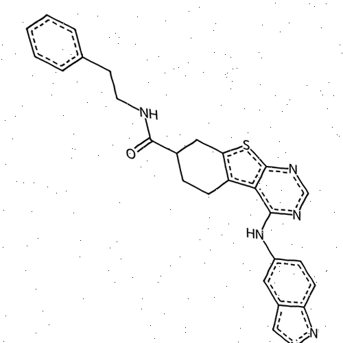 O=C(NCCc1ccccc1)C1CCc2c(sc3ncnc(Nc4ccc5[nH]ncc5c4)c23)C1